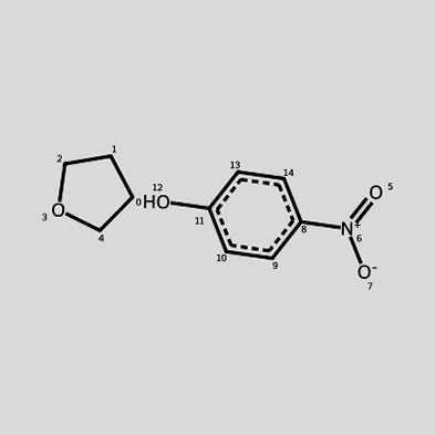 C1CCOC1.O=[N+]([O-])c1ccc(O)cc1